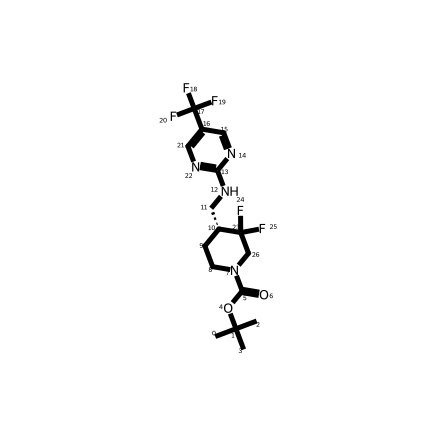 CC(C)(C)OC(=O)N1CC[C@H](CNc2ncc(C(F)(F)F)cn2)C(F)(F)C1